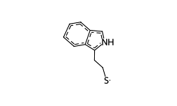 [S]CCc1[nH]cc2ccccc12